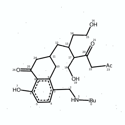 CCC(C)NCc1ccc(O)c2c1CC(CC(CCO)C(CO)C(=O)CC(C)=O)CC2=O